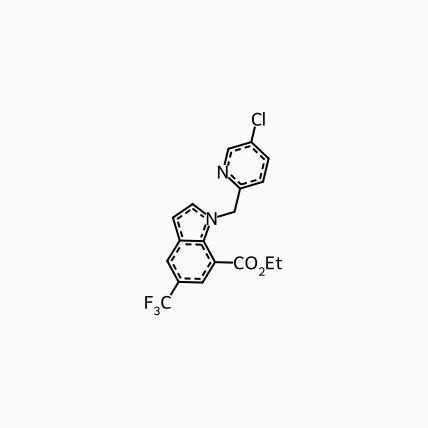 CCOC(=O)c1cc(C(F)(F)F)cc2ccn(Cc3ccc(Cl)cn3)c12